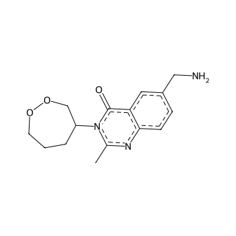 Cc1nc2ccc(CN)cc2c(=O)n1C1CCCOOC1